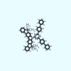 CC1(C)c2ccccc2-c2cc3c4cc5c(cc4n(-c4nc(-c6ccc(-c7ccccc7)cc6)nc(-c6ccc(-c7ccccc7)cc6)n4)c3cc21)C(C)(C)c1ccccc1-5